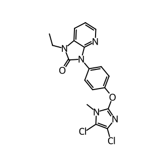 CCn1c(=O)n(-c2ccc(Oc3nc(Cl)c(Cl)n3C)cc2)c2ncccc21